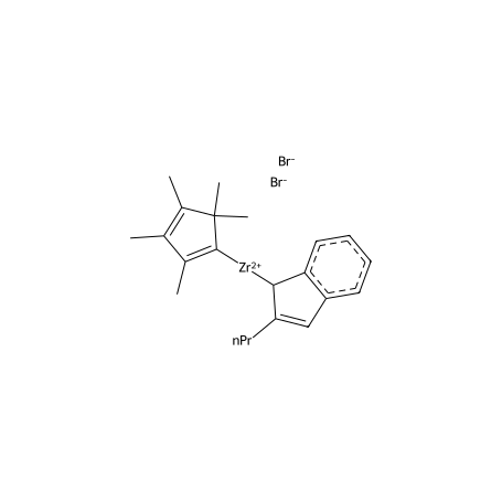 CCCC1=Cc2ccccc2[CH]1[Zr+2][C]1=C(C)C(C)=C(C)C1(C)C.[Br-].[Br-]